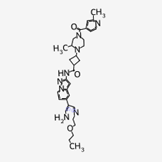 CCCOCC/N=C\C(=C/N)c1ccn2nc(NC(=O)C3CC(N4CCN(C(=O)c5ccnc(C)c5)CC4C)C3)cc2c1